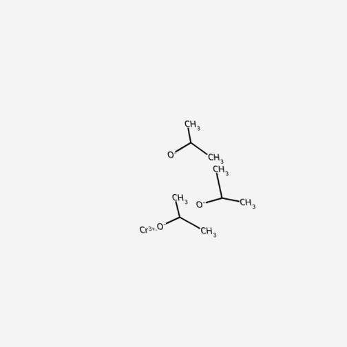 CC(C)[O-].CC(C)[O-].CC(C)[O-].[Cr+3]